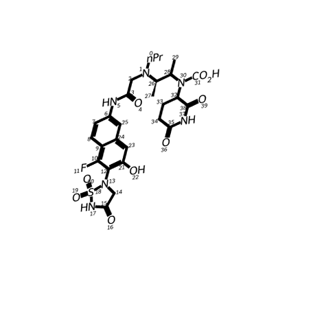 CCCN(CC(=O)Nc1ccc2c(F)c(N3CC(=O)NS3(=O)=O)c(O)cc2c1)[C@H](C)C(C)N(C(=O)O)C1CCC(=O)NC1=O